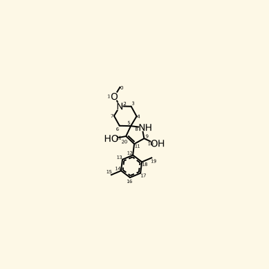 CON1CCC2(CC1)NC(O)C(c1cc(C)ccc1C)=C2O